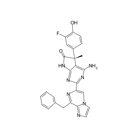 C[C@]1(c2ccc(O)c(F)c2)C(=O)Nc2nc(-c3cn4ccnc4c(Cc4ccccc4)n3)nc(N)c21